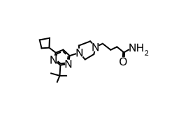 CC(C)(C)c1nc(C2CCC2)cc(N2CCN(CCCC(N)=O)CC2)n1